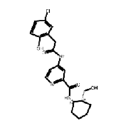 O=C(Cc1cc(Cl)ccc1O)Nc1ccnc(C(=O)N[C@H]2CCCC[C@H]2CO)c1